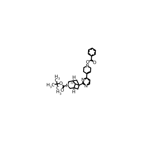 CC(C)(C)OC(=O)N1C[C@@H]2CC3(c4nccc(C5=CCN(OC(=O)c6ccccc6)CC5)n4)C[C@H](C1)C23